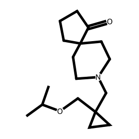 CC(C)OCC1(CN2CCC3(CCCC3=O)CC2)CC1